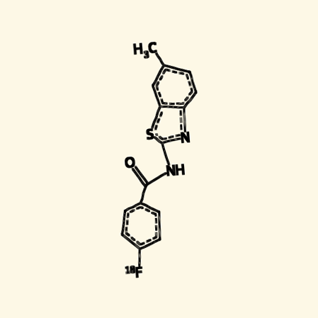 Cc1ccc2nc(NC(=O)c3ccc([18F])cc3)sc2c1